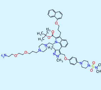 Cc1nn(C)c(COc2ccc(N3CCN(S(=O)(=O)N(C)C)CC3)cc2)c1-c1cccc2c(CCCOc3cccc4ccccc34)c(C(=O)OC(C)(C)C)n(CCN3CCN(CCCOCCOCCN)CC3)c12